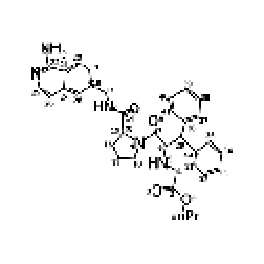 CCCOC(=O)CNC(C(=O)N1CCC[C@H]1C(=O)NCc1ccc2c(N)nccc2c1)C(c1ccccc1)c1ccccc1